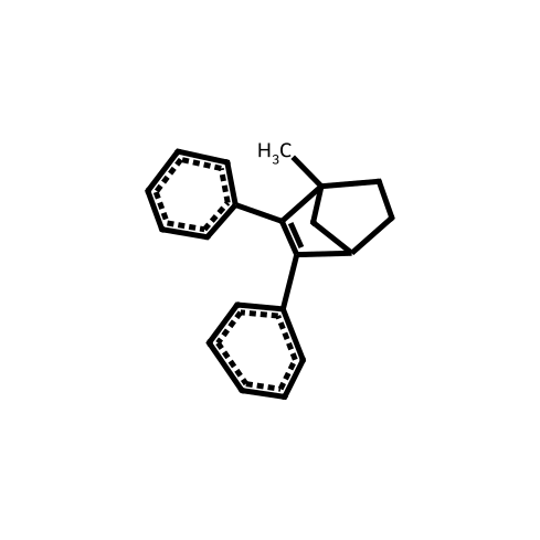 CC12CCC(C1)C(c1ccccc1)=C2c1ccccc1